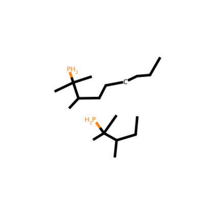 CCC(C)C(C)(C)P.CCCCCCC(C)C(C)(C)P